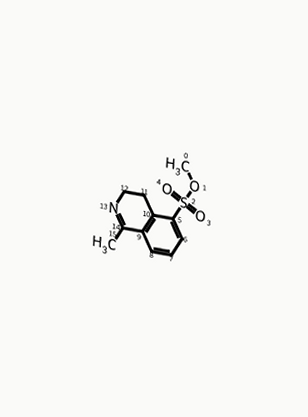 COS(=O)(=O)c1cccc2c1CCN=C2C